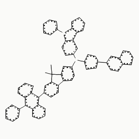 CC1(C)c2cc(-c3c4ccccc4c(-c4ccccc4)c4ccccc34)ccc2-c2ccc(N(c3ccc(-c4ccc5ccccc5c4)cc3)c3ccc4c(c3)c3ccccc3n4-c3ccccc3)cc21